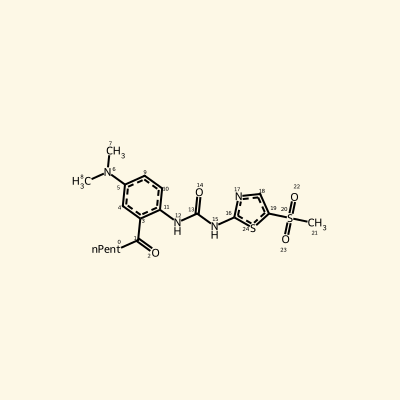 CCCCCC(=O)c1cc(N(C)C)ccc1NC(=O)Nc1ncc(S(C)(=O)=O)s1